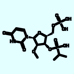 CO[C@@H]1[C@H](OP(=O)(O)C(C)C)[C@@H](COP(=O)(O)O)O[C@H]1n1ccc(=O)[nH]c1=O